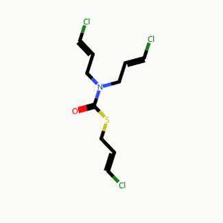 O=C(SCC=CCl)N(CC=CCl)CC=CCl